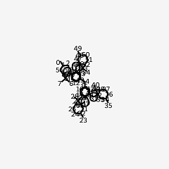 CC1CCC2C(C)(C)C2(Oc2ccc(Cc3ccc(OC45CC(C)CCC4C5(C)C)c(OC45CC(C)CCC4C5(C)C)c3)cc2OC23CC(C)CCC2C3(C)C)C1